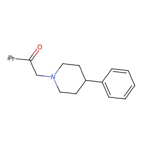 CC(C)C(=O)CN1CCC(c2ccccc2)CC1